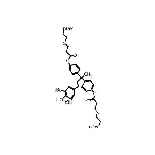 CCCCCCCCCCCCSCCC(=O)Oc1ccc(C(C)(CCc2cc(C(C)(C)C)c(O)c(C(C)(C)C)c2)c2ccc(OC(=O)CCSCCCCCCCCCCCC)cc2)cc1